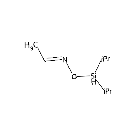 CC=NO[SiH](C(C)C)C(C)C